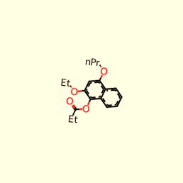 CCCOc1cc(OCC)c(OC(=O)CC)c2ccccc12